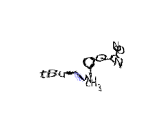 CN(C/C=C/C#CC(C)(C)C)Cc1cccc(OCc2cncc(-c3cnco3)c2)c1